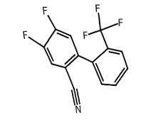 N#Cc1cc(F)c(F)cc1-c1ccccc1C(F)(F)F